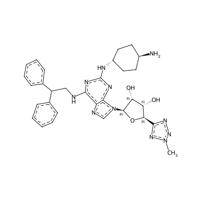 Cn1nnc([C@H]2O[C@@H](n3cnc4c(NCC(c5ccccc5)c5ccccc5)nc(N[C@H]5CC[C@H](N)CC5)nc43)[C@H](O)[C@@H]2O)n1